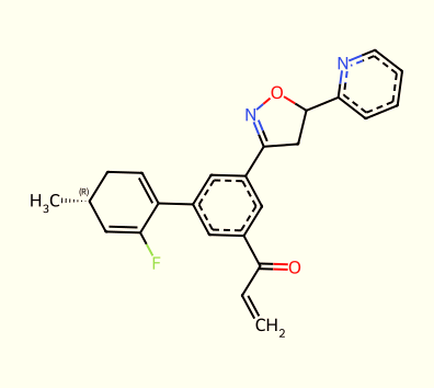 C=CC(=O)c1cc(C2=CC[C@@H](C)C=C2F)cc(C2=NOC(c3ccccn3)C2)c1